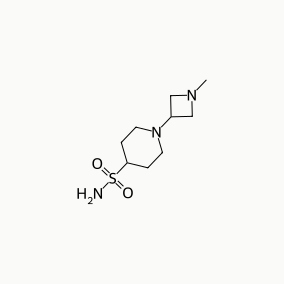 CN1CC(N2CCC(S(N)(=O)=O)CC2)C1